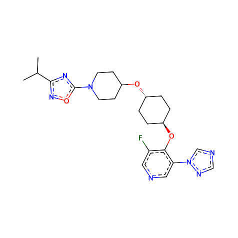 CC(C)c1noc(N2CCC(O[C@H]3CC[C@H](Oc4c(F)cncc4-n4cncn4)CC3)CC2)n1